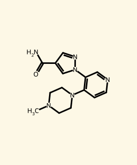 CN1CCN(c2ccncc2-n2cc(C(N)=O)cn2)CC1